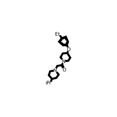 CCc1ccc(OC2CCN(C(=O)CN3CCC(C(C)C)CC3)CC2)cc1